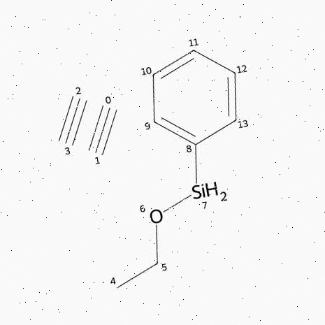 C#C.C#C.CCO[SiH2]c1ccccc1